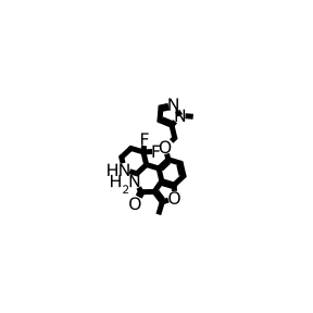 Cc1oc2ccc(OCc3ccnn3C)c(C3CNCCC3(F)F)c2c1C(N)=O